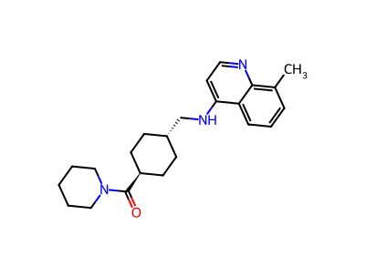 Cc1cccc2c(NC[C@H]3CC[C@H](C(=O)N4CCCCC4)CC3)ccnc12